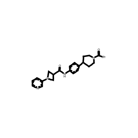 CC(C)C(=O)N1CCC(c2ccc(NC(=O)C3CN(c4cccnc4)C3)cc2)CC1